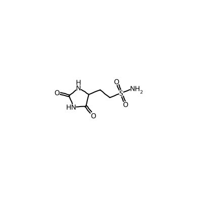 NS(=O)(=O)CCC1NC(=O)NC1=O